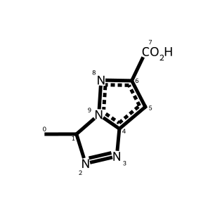 CC1N=Nc2cc(C(=O)O)nn21